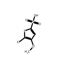 COc1cc(S(=O)(=O)O)sc1Cl